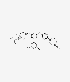 CN1CCCN(c2ncc(Oc3cc(CN4CC[C@@H]5[C@H](CC4)[C@@H]5C(=O)O)cc(-c4cc(Cl)cc(Cl)c4)n3)cn2)CC1